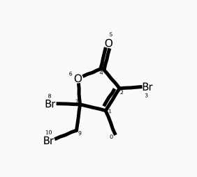 CC1=C(Br)C(=O)OC1(Br)CBr